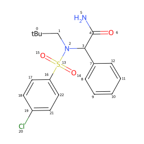 CC(C)(C)CN(C(C(N)=O)c1ccccc1)S(=O)(=O)c1ccc(Cl)cc1